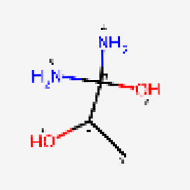 CC(O)C(N)(N)O